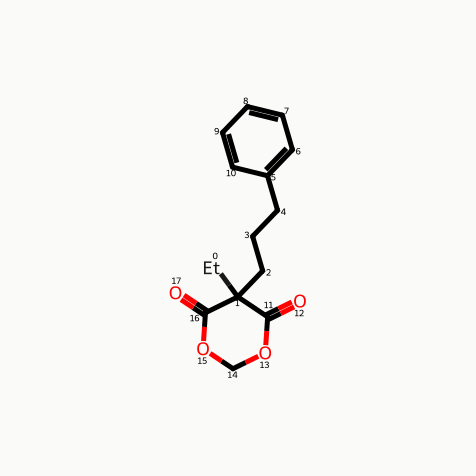 CCC1(CCCc2ccccc2)C(=O)OCOC1=O